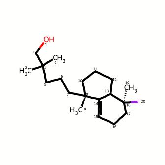 CC(C)(CO)CCC[C@]1(C)CCCC2C1=CCC[C@]2(C)I